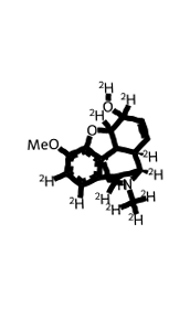 [2H]OC1([2H])C=C[C@]2([2H])[C@@]34CCN(C([2H])([2H])[2H])[C@]2([2H])C([2H])([2H])c2c([2H])c([2H])c(OC)c(c23)OC14[2H]